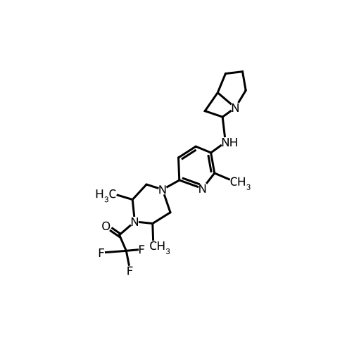 Cc1nc(N2CC(C)N(C(=O)C(F)(F)F)C(C)C2)ccc1NC1CC2CCCN21